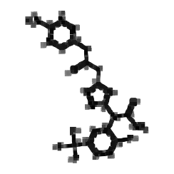 NC(=O)N(c1nnc(CC(=O)Cc2cnc(N)nc2)s1)c1cc(C(F)(F)F)ccc1F